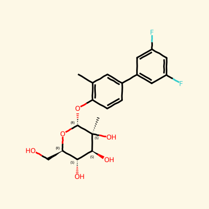 Cc1cc(-c2cc(F)cc(F)c2)ccc1O[C@H]1O[C@H](CO)[C@@H](O)[C@H](O)[C@]1(C)O